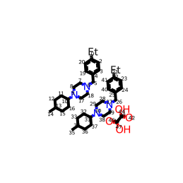 CCc1ccc(CN2CCN(C3CCC(C)CC3)CC2)cc1.CCc1ccc(CN2CCN(C3CCC(C)CC3)CC2)cc1.O=C(O)C(=O)O